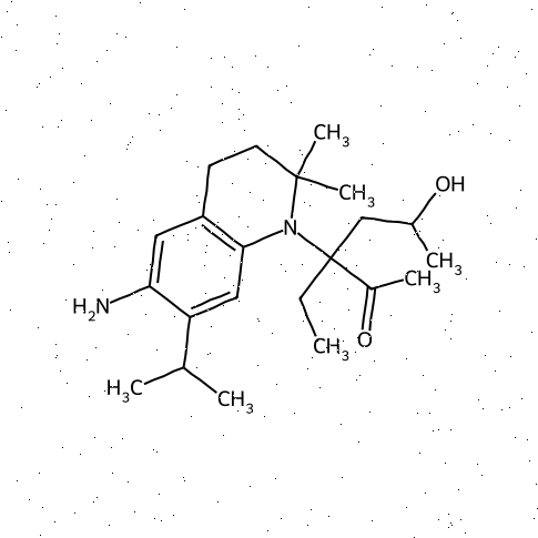 CCC(CC(C)O)(C(C)=O)N1c2cc(C(C)C)c(N)cc2CCC1(C)C